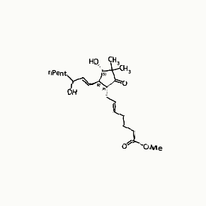 CCCCCC(O)C=C[C@@H]1[C@@H](CC=CCCCC(=O)OC)C(=O)C(C)(C)[C@H]1O